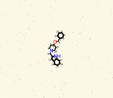 c1ccc(COC2CCN(Cc3cc4ccccc4[nH]3)CC2)cc1